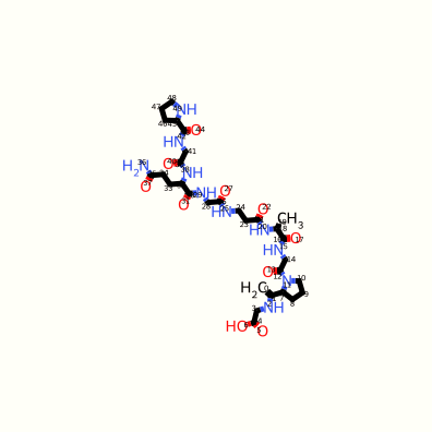 C=C(NCC(=O)O)C1CCCN1C(=O)CNC(=O)C(C)NC(=O)CCNC(=O)CNC(=O)C(CCC(N)=O)NC(=O)CNC(=O)C1CCCN1